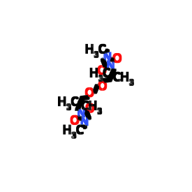 CCN1CC(=O)N(CC(C)(C)CCOCCOCCC(C)(C)CN2C(=O)CN(CC)C2=O)C1=O